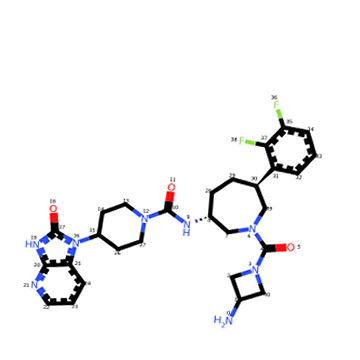 NC1CN(C(=O)N2C[C@H](NC(=O)N3CCC(n4c(=O)[nH]c5ncccc54)CC3)CC[C@@H](c3cccc(F)c3F)C2)C1